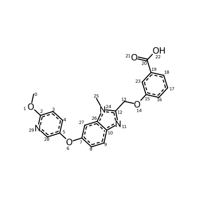 COc1ccc(Oc2ccc3nc(COc4cccc(C(=O)O)c4)n(C)c3c2)cn1